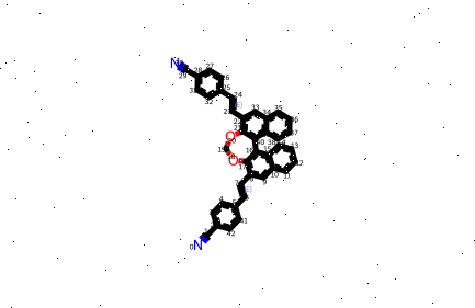 N#Cc1ccc(/C=C/c2cc3ccccc3c3c2OCOc2c(/C=C/c4ccc(C#N)cc4)cc4ccccc4c2-3)cc1